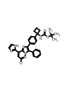 CC(C)(C)OC(=O)NC1(c2ccc(-c3nc4c(-c5ncc[nH]5)cc(Cl)nn4c3-c3ccccc3)cc2)CCC1